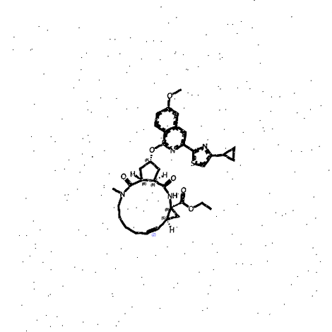 CCOC(=O)[C@@]12C[C@H]1/C=C\CCCCN(C)C(=O)[C@@H]1C[C@H](Oc3nc(-c4nc(C5CC5)cs4)cc4cc(OC)ccc34)C[C@H]1C(=O)N2